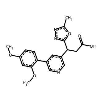 COc1ccc(-c2cncc(C(CC(=O)O)c3nnc(C)o3)c2)c(OC)c1